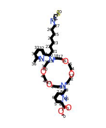 COC(=O)c1cccc(CN2CCOCCOCCN(C(CCCCCCCN=C=S)c3cccc(C)n3)CCOCCOCC2)n1